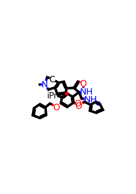 CC(C)c1cc(C2(C(N)=O)NOC=C2c2ccc3c(c2)CCN(C)C3)c(OCc2ccccc2)cc1OCc1ccccc1